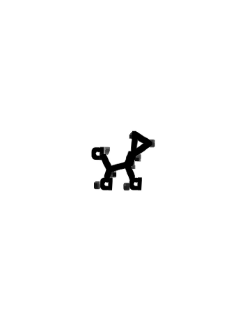 ClC(=C1CC1)C(Cl)Cl